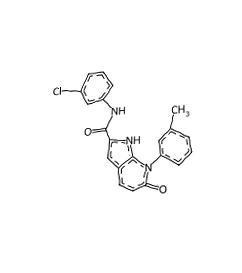 Cc1cccc(-n2c(=O)ccc3cc(C(=O)Nc4cccc(Cl)c4)[nH]c32)c1